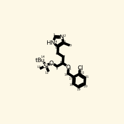 Cc1nc[nH]c1CCC(CO[Si](C)(C)C(C)(C)C)OCc1ccccc1Cl